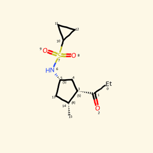 CCC(=O)[C@H]1C[C@@H](NS(=O)(=O)C2CC2)C[C@H]1C